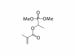 C=C(C)C(=O)OC(C)P(=O)(OC)OC